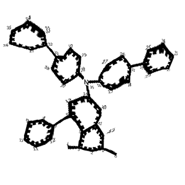 Cc1cc(C)c2c(-c3ccccc3)cc(N(c3ccc(-c4ccccc4)cc3)c3ccc(-c4ccccc4)cc3)cc2c1